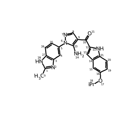 Cc1nc2cc(-n3ncc(C(=O)c4cc5cc(OC(C)C)ccc5[nH]4)c3N)ccc2[nH]1